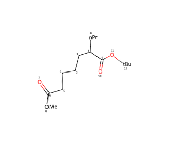 CCCC(CCCCC(=O)OC)C(=O)OC(C)(C)C